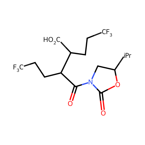 CC(C)C1CN(C(=O)C(CCC(F)(F)F)C(CCC(F)(F)F)C(=O)O)C(=O)O1